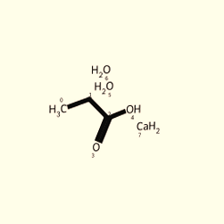 CCC(=O)O.O.O.[CaH2]